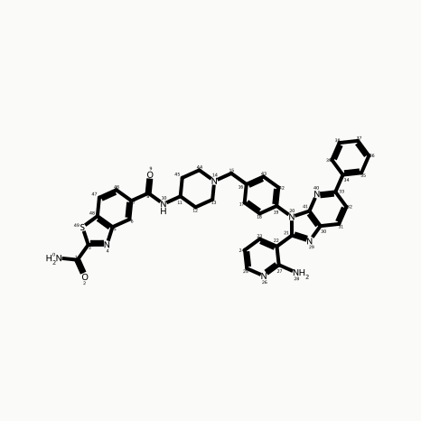 NC(=O)c1nc2cc(C(=O)NC3CCN(Cc4ccc(-n5c(-c6cccnc6N)nc6ccc(-c7ccccc7)nc65)cc4)CC3)ccc2s1